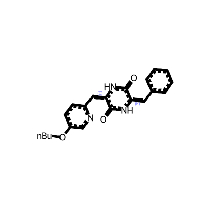 CCCCOc1ccc(/C=c2/[nH]c(=O)/c(=C\c3ccccc3)[nH]c2=O)nc1